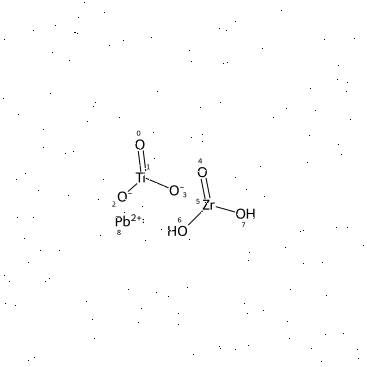 [O]=[Ti]([O-])[O-].[O]=[Zr]([OH])[OH].[Pb+2]